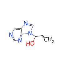 C=CC(O)n1cnc2cncnc21